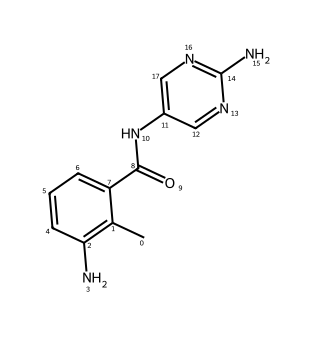 Cc1c(N)cccc1C(=O)Nc1cnc(N)nc1